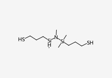 CN([SiH](C)CCCS)[Si](C)(C)CCCS